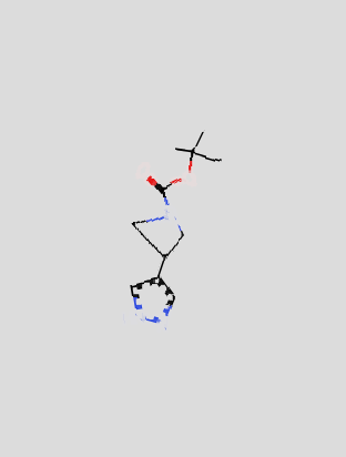 CC(C)(C)OC(=O)N1CC(c2cn[nH]c2)C1